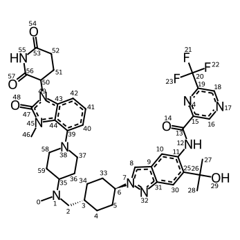 CN(C[C@H]1CC[C@H](n2cc3cc(NC(=O)c4cncc(C(F)(F)F)n4)c(C(C)(C)O)cc3n2)CC1)C1CCN(c2cccc3c2n(C)c(=O)n3C2CCC(=O)NC2=O)CC1